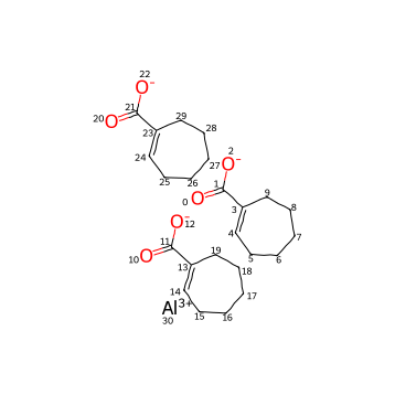 O=C([O-])C1=CCCCCC1.O=C([O-])C1=CCCCCC1.O=C([O-])C1=CCCCCC1.[Al+3]